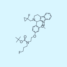 COc1cc(OCCN(CCCF)C(=O)OC(C)(C)C)ccc1C1c2[nH]c3ccccc3c2CCN1CC1(F)CC1